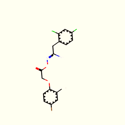 Cc1cc(Br)ccc1OCC(=O)O/N=C(\N)Cc1ccc(Cl)cc1Cl